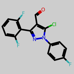 O=Cc1c(-c2c(F)cccc2F)nn(-c2ccc(F)cc2)c1Cl